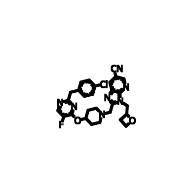 N#Cc1cnc2c(c1)nc(CN1CCC(Oc3nc(Cc4ccc(Cl)cc4)ncc3F)CC1)n2CC1CCO1